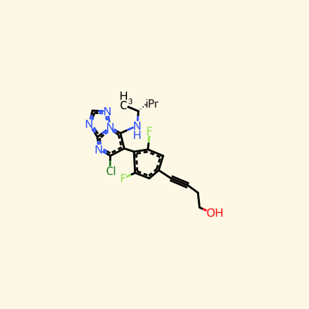 CC(C)[C@@H](C)Nc1c(-c2c(F)cc(C#CCCO)cc2F)c(Cl)nc2ncnn12